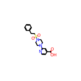 O=C(O)c1ccnc(N2CCN(S(=O)(=O)CCc3ccccc3)CC2)c1